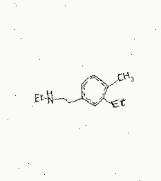 CCNCCc1ccc(C)c(CC)c1